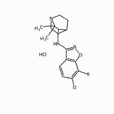 CC1(C)C(Nc2noc3c(F)c(Cl)ccc23)C2CCN1CC2.Cl